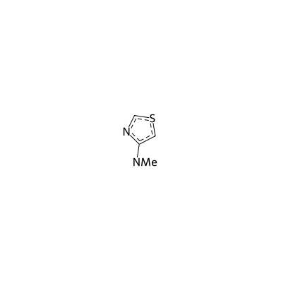 [CH2]Nc1cscn1